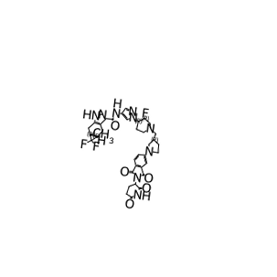 C[C@@]12Cc3[nH]nc(C(=O)Nc4cnn([C@@H]5CCN(C[C@H]6CCN(c7ccc8c(c7)C(=O)N(C7CCC(=O)NC7=O)C8=O)C6)C[C@H]5F)c4)c3C[C@@H]1C2(F)F